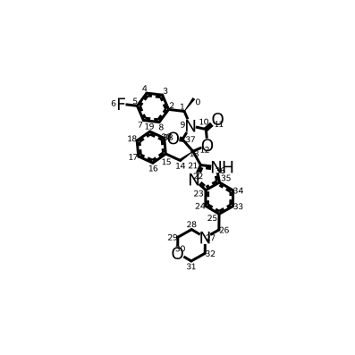 C[C@H](c1ccc(F)cc1)N1C(=O)O[C@](Cc2ccccc2)(c2nc3cc(CN4CCOCC4)ccc3[nH]2)C1=O